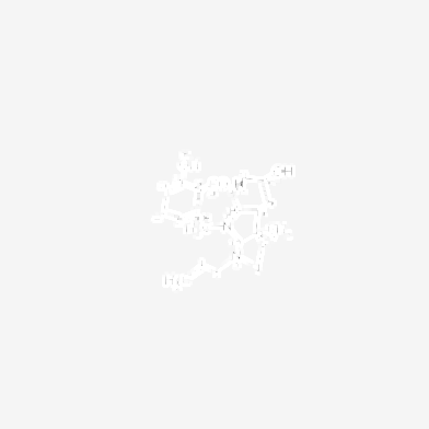 C=CCN1CCC2(C)c3cc(O)ccc3N(C)C12.O=C(O)c1ccccc1O